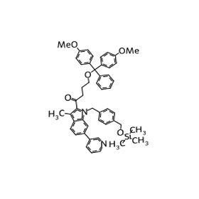 COc1ccc(C(OCCCC(=O)c2c(C)c3ccc(-c4cccnc4)cc3n2Cc2ccc(CO[Si](C)(C)C)cc2)(c2ccccc2)c2ccc(OC)cc2)cc1